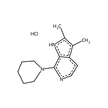 Cc1[nH]c2c(N3CCCCC3)nccc2c1C.Cl